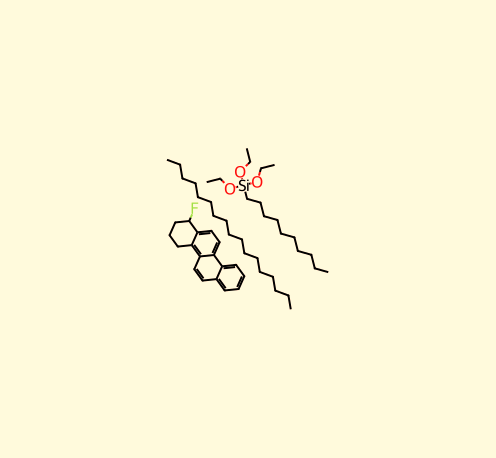 CCCCCCCCCCCCCCCCC.CCCCCCCCCC[Si](OCC)(OCC)OCC.FC1CCCc2c1ccc1c2ccc2ccccc21